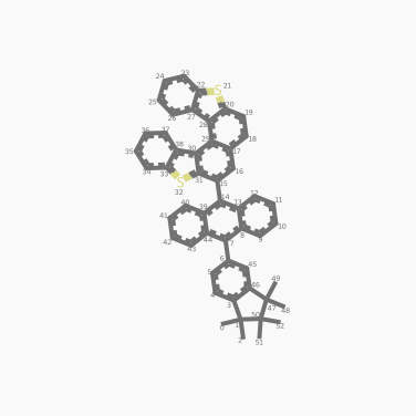 CC1(C)c2ccc(-c3c4ccccc4c(-c4cc5ccc6sc7ccccc7c6c5c5c4sc4ccccc45)c4ccccc34)cc2C(C)(C)C1(C)C